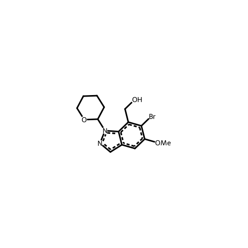 COc1cc2cnn(C3CCCCO3)c2c(CO)c1Br